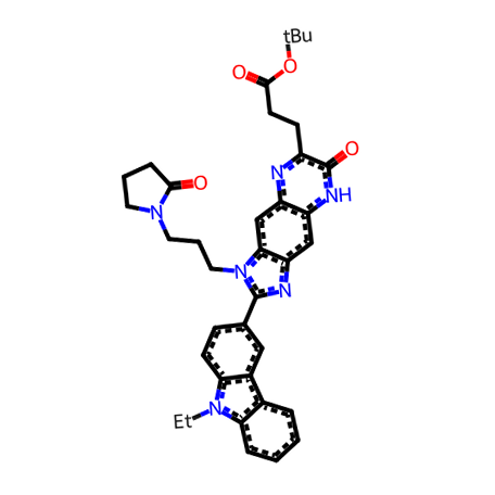 CCn1c2ccccc2c2cc(-c3nc4cc5[nH]c(=O)c(CCC(=O)OC(C)(C)C)nc5cc4n3CCCN3CCCC3=O)ccc21